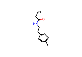 Cc1ccc(CCNC(=O)CC(C)C)cc1